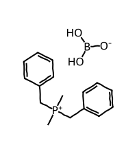 C[P+](C)(Cc1ccccc1)Cc1ccccc1.[O-]B(O)O